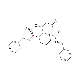 O=C1CC2OC(=O)CC3(C(=O)OCc4ccccc4)CCCC(C(=O)OCc4ccccc4)(C1)C23